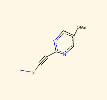 COc1cnc(C#CSI)nc1